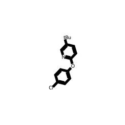 CC(C)(C)c1ccc(Oc2ccc(Cl)cc2)nc1